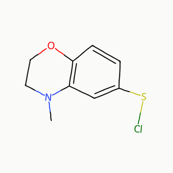 CN1CCOc2ccc(SCl)cc21